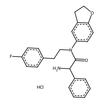 Cl.NC(C(=O)N(CCc1ccc(F)cc1)c1ccc2c(c1)CCO2)c1ccccc1